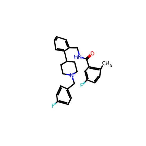 Cc1ccc(F)cc1C(=O)NCc1ccccc1C1CCN(Cc2ccc(F)cc2)CC1